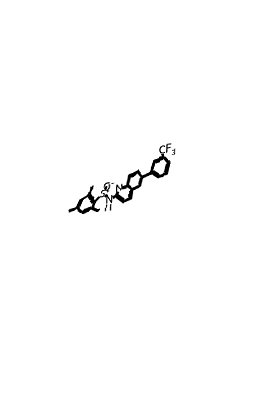 Cc1cc(C)c([S+]([O-])Nc2ccc3cc(-c4cccc(C(F)(F)F)c4)ccc3n2)c(C)c1